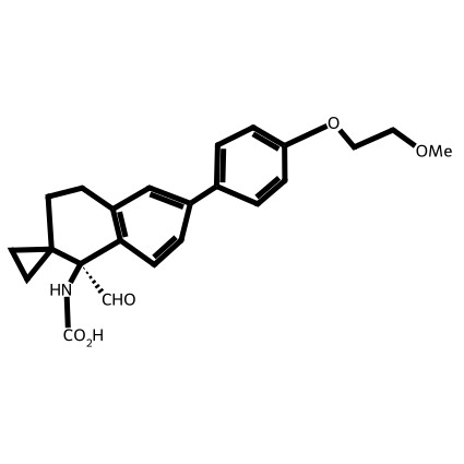 COCCOc1ccc(-c2ccc3c(c2)CCC2(CC2)[C@]3(C=O)NC(=O)O)cc1